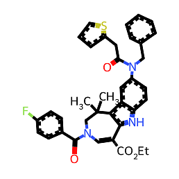 CCOC(=O)C1=CN(C(=O)c2ccc(F)cc2)CC(C)(C)c2c1[nH]c1ccc(N(Cc3ccccc3)C(=O)Cc3cccs3)cc21